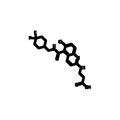 O=C(O)CCNc1ccc2c(C(=O)NCC3CCC(F)(F)CC3)c(Cl)ccc2n1